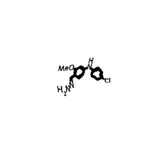 COc1cc(Nc2ccc(Cl)cc2)ccc1C=NN